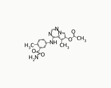 CC(=O)Oc1cn2ncnc(Nc3ccc(C)c(S(N)(=O)=O)c3)c2c1C